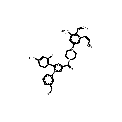 C=Cc1c(/C=C\C)cc(N2CCN(C(=O)c3cn(-c4cccc(OCC)c4)c(C4=C(F)C=C(C)CC4)n3)CC2)cc1C(=O)O